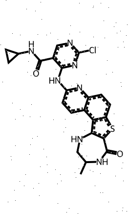 CC1CNc2c(sc3ccc4nc(Nc5nc(Cl)ncc5C(=O)NC5CC5)ccc4c23)C(=O)N1